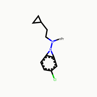 CCCN(CCC1CC1)N1c2ccc(Cl)cc21